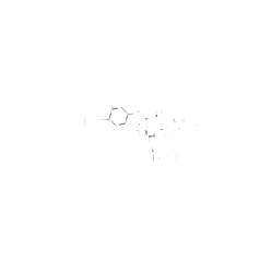 COC(=O)C(Cc1ccc(C(C)(C)C)cc1)N(C)C(=O)OC(C)(C)C